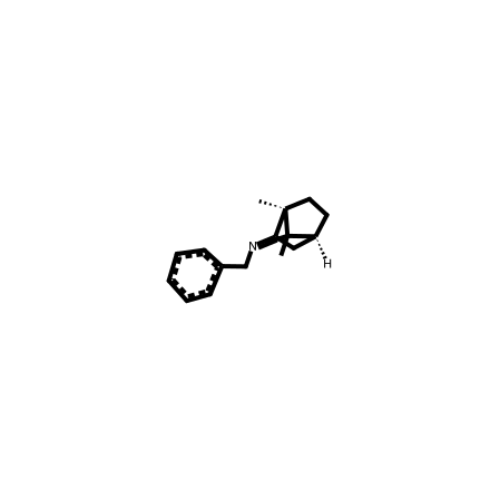 CC1(C)[C@H]2CC[C@]1(C)/C(=N/Cc1ccccc1)C2